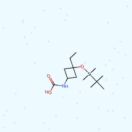 CCC1(O[Si](C)(C)C(C)(C)C)CC(NC(=O)O)C1